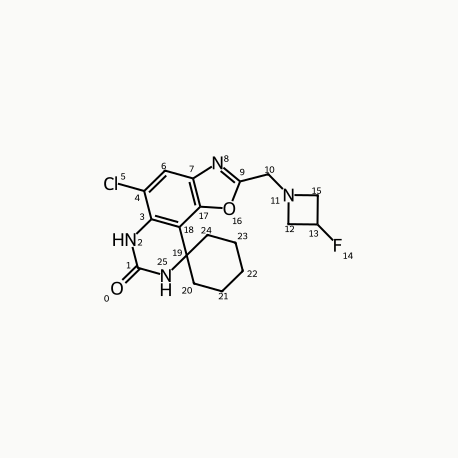 O=C1Nc2c(Cl)cc3nc(CN4CC(F)C4)oc3c2C2(CCCCC2)N1